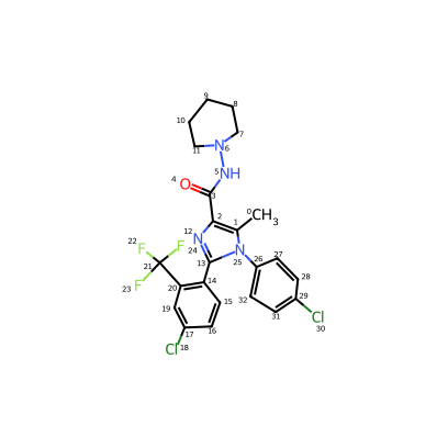 Cc1c(C(=O)NN2CCCCC2)nc(-c2ccc(Cl)cc2C(F)(F)F)n1-c1ccc(Cl)cc1